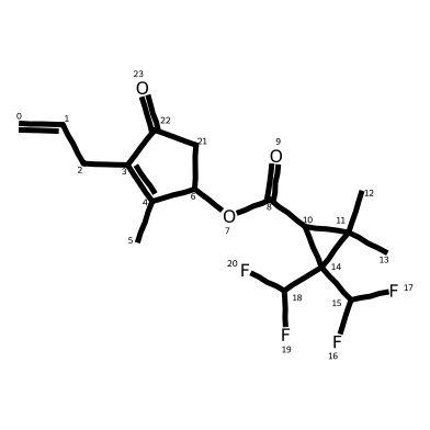 C=CCC1=C(C)C(OC(=O)C2C(C)(C)C2(C(F)F)C(F)F)CC1=O